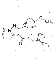 COc1ccc(-c2nn3ncccc3c2C(=O)C=CN(C)C)cc1